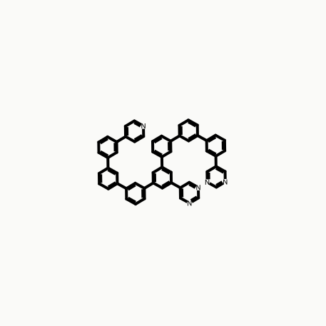 c1cc(-c2ccncc2)cc(-c2cccc(-c3cccc(-c4cc(-c5cncnc5)cc(-c5cccc(-c6cccc(-c7cccc(-c8cncnc8)c7)c6)c5)c4)c3)c2)c1